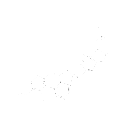 COc1ccc(C)c(-c2cccc3c2CC[C@H]3Oc2ccc3c(c2)OC[C@H]3CC(=O)O)c1C